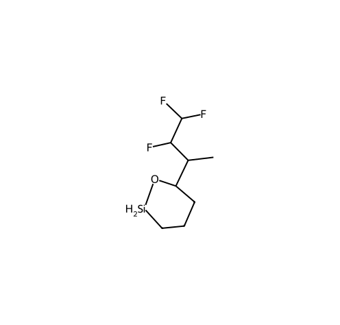 CC(C1CCC[SiH2]O1)C(F)C(F)F